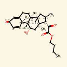 CCCCOC(=O)C(=O)[C@H]1[C@H](C)C[C@H]2[C@@H]3CCC4=CC(=O)C=C[C@]4(C)[C@H]3[C@@H](O)C[C@@]21C